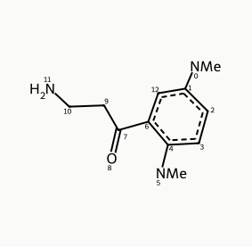 CNc1ccc(NC)c(C(=O)CCN)c1